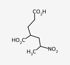 CC(CC(CCC(=O)O)C(=O)O)[N+](=O)[O-]